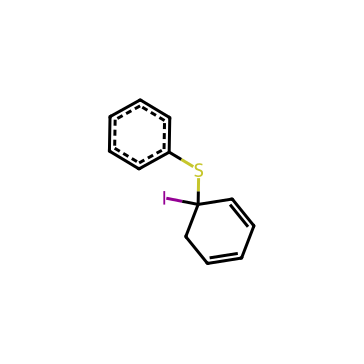 IC1(Sc2ccccc2)C=CC=CC1